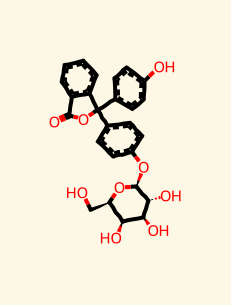 O=C1OC(c2ccc(O)cc2)(c2ccc(O[C@@H]3O[C@H](CO)[C@H](O)[C@H](O)[C@H]3O)cc2)c2ccccc21